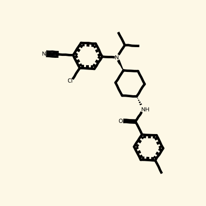 Cc1ccc(C(=O)N[C@H]2CC[C@H](N(c3ccc(C#N)c(Cl)c3)C(C)C)CC2)cc1